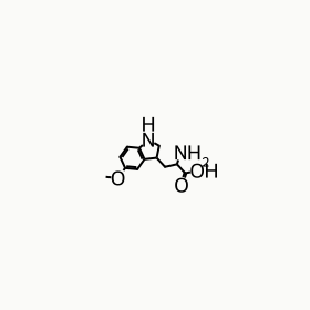 COc1ccc2c(c1)C(CC(N)C(=O)O)CN2